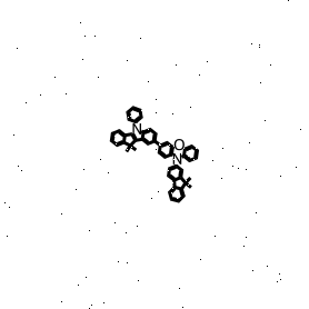 CC1(C)c2ccccc2-c2ccc(N3c4ccccc4Oc4cc(-c5ccc6c(c5)c5c(n6-c6ccccc6)-c6ccccc6C5(C)C)ccc43)cc21